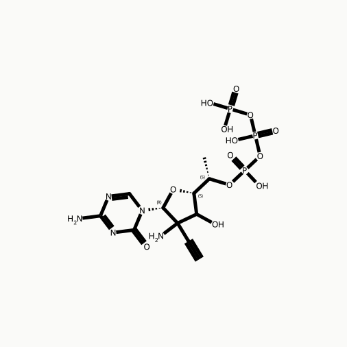 C#CC1(N)C(O)[C@@H]([C@H](C)OP(=O)(O)OP(=O)(O)OP(=O)(O)O)O[C@H]1n1cnc(N)nc1=O